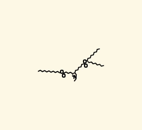 CCCCCCCCCCCOC(=O)CCCC1CN(CC)CC1CCCCCC(=O)OC(CCCCCCCC)CCCCCCCC